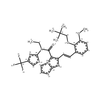 CCN(C(=O)c1c(/C=C/c2cccc(OC)c2OCC(C)(C)C)nc2sccn12)c1nc(C(F)(F)F)cs1